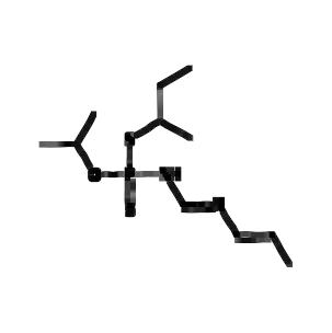 CC=CN=CNP(=S)(OC(C)C)SC(C)CC